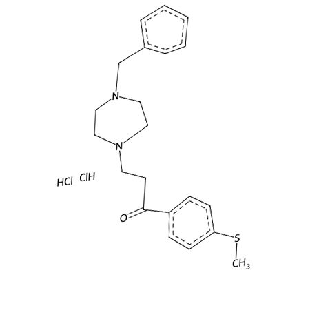 CSc1ccc(C(=O)CCN2CCN(Cc3ccccc3)CC2)cc1.Cl.Cl